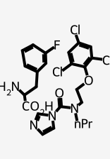 CCCN(CCOc1c(Cl)cc(Cl)cc1Cl)C(=O)n1ccnc1.NC(Cc1cccc(F)c1)C(=O)O